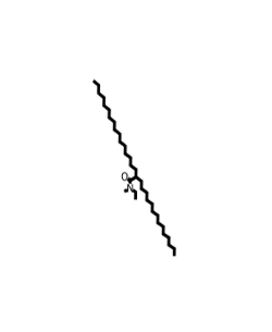 CCCCCCCCCCCCCCCCC(CCCCCCCCCCCCCC)C(=O)N(C)CC